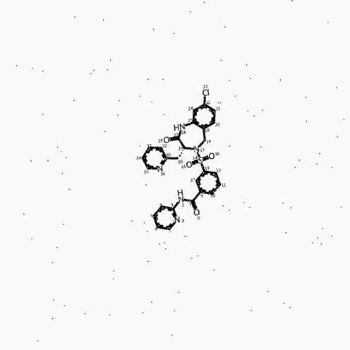 O=C(Nc1ccccn1)c1cccc(S(=O)(=O)N2Cc3ccc(Cl)cc3NC(=O)[C@H]2Cc2ccccn2)c1